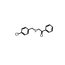 O=C(CSCc1ccc(Cl)cc1)c1ccccc1